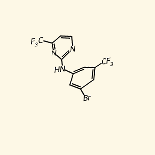 FC(F)(F)c1cc(Br)cc(Nc2nccc(C(F)(F)F)n2)c1